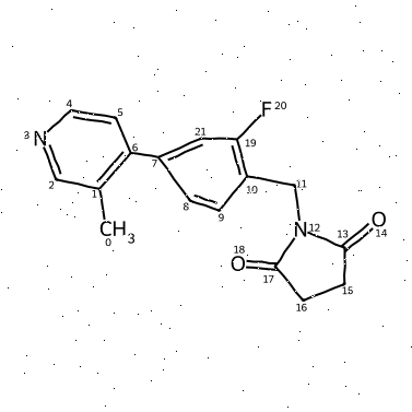 Cc1cnccc1-c1ccc(CN2C(=O)CCC2=O)c(F)c1